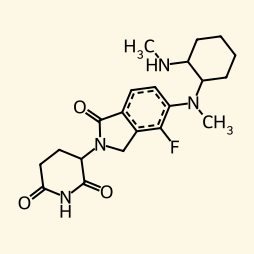 CNC1CCCCC1N(C)c1ccc2c(c1F)CN(C1CCC(=O)NC1=O)C2=O